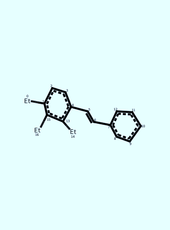 CCc1ccc(C=Cc2ccccc2)c(CC)c1CC